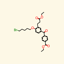 CCOC(=O)CCc1cc(C(=O)c2ccc(C(=O)OCC)cc2)ccc1OCCCCCBr